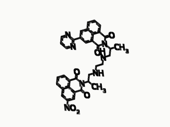 CC(CNCCNCC(C)N1C(=O)c2cccc3cc([N+](=O)[O-])cc(c23)C1=O)N1C(=O)c2cccc3cc(-c4ncccn4)cc(c23)C1=O